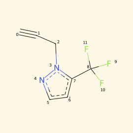 C#CCn1nc[c]c1C(F)(F)F